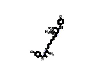 C/C(=N\C(N)=N\CCCCCC/C=C(/C=C(\CN)Nc1ccc(Cl)cc1)NN)NC1=CC=C(Cl)CC1